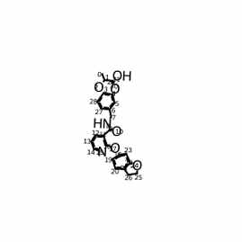 CC(Oc1ccc(CNC(=O)c2cccnc2Oc2ccc3c(c2)OCC3)cc1)C(=O)O